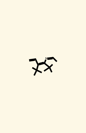 C=C/C(=C(\N=C/C)C(C)(C)C)C(C)(C)C